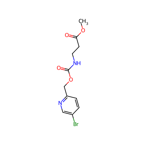 COC(=O)CCNC(=O)OCc1ccc(Br)cn1